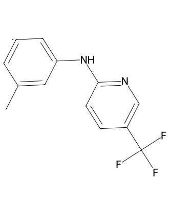 Cc1c[c]cc(Nc2ccc(C(F)(F)F)cn2)c1